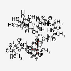 CC[C@@]1(O)C(=O)OCc2c1cc1n(c2=O)Cc2c-1nc1cc(F)c(SC)cc1c2CNC(=O)COCNC(=O)[C@H](C)NC(=O)[C@H](C)NC(=O)[C@H](C)NC(=O)[C@H](CCC(=O)N(C)C[C@H](O)[C@@H](O)[C@H](O)[C@H](O)CO)NC(=O)CCCCCN1C(=O)C=CC1=O